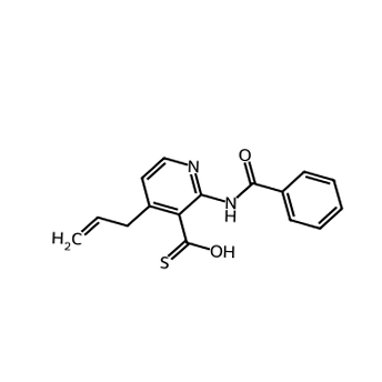 C=CCc1ccnc(NC(=O)c2ccccc2)c1C(O)=S